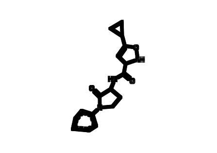 O=C(NC1CCN(c2ccccc2)C1=O)C1C=C(C2CC2)ON1